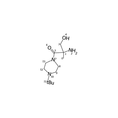 CC(N)(CO)C(=O)N1CCN(C(C)(C)C)CC1